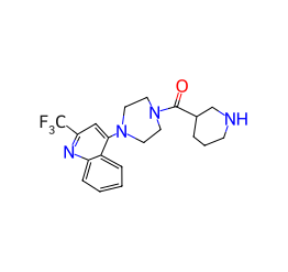 O=C(C1CCCNC1)N1CCN(c2cc(C(F)(F)F)nc3ccccc23)CC1